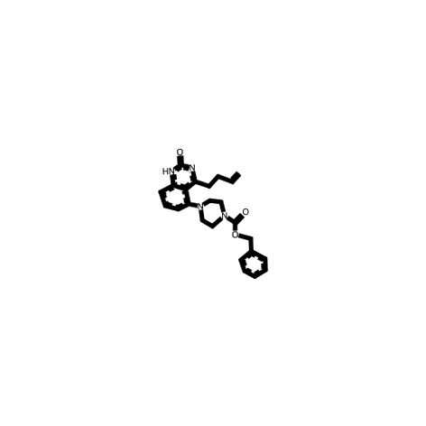 C=CCCc1nc(=O)[nH]c2cccc(N3CCN(C(=O)OCc4ccccc4)CC3)c12